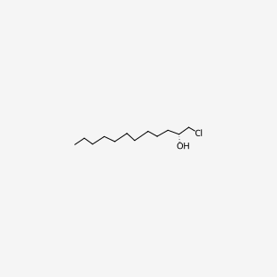 CCCCCCCCCC[C@@H](O)CCl